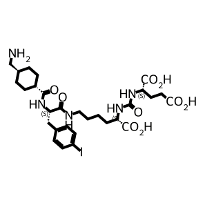 NC[C@H]1CC[C@H](C(=O)N[C@@H](Cc2ccc(I)cc2)C(=O)NCCCC[C@H](NC(=O)N[C@@H](CCC(=O)O)C(=O)O)C(=O)O)CC1